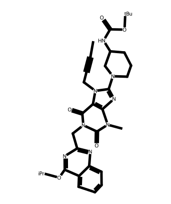 CC#CCn1c(N2CCCC(NC(=O)OC(C)(C)C)C2)nc2c1c(=O)n(Cc1nc(OC(C)C)c3ccccc3n1)c(=O)n2C